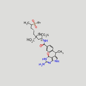 CC(c1ccc(C(=O)N[C@@H](CC(CCCC(C)S(=O)(=O)C(C)C)(C(=O)O)C(C)(C)C)C(=O)O)cc1)c1c[nH]c2nc(N)[nH]c(=O)c12